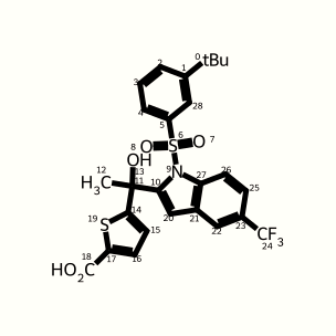 CC(C)(C)c1cccc(S(=O)(=O)n2c(C(C)(O)c3ccc(C(=O)O)s3)cc3cc(C(F)(F)F)ccc32)c1